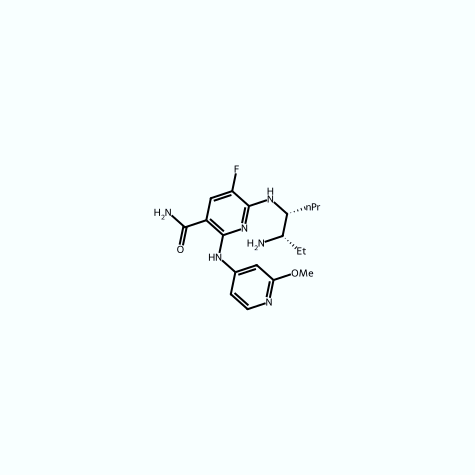 CCC[C@@H](Nc1nc(Nc2ccnc(OC)c2)c(C(N)=O)cc1F)[C@@H](N)CC